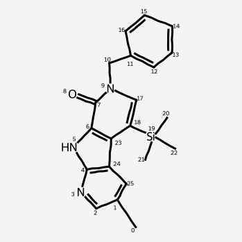 Cc1cnc2[nH]c3c(=O)n(Cc4ccccc4)cc([Si](C)(C)C)c3c2c1